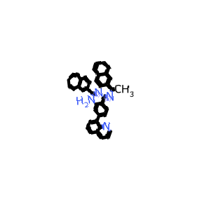 CC(/N=C(\N=C(/N)c1ccc2c(c1)C=CCC=C2)c1ccc(-c2cccc3cccnc23)cc1)C1=CC2CCC=CC2C=C1